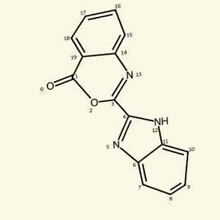 O=c1oc(-c2nc3ccccc3[nH]2)nc2ccccc12